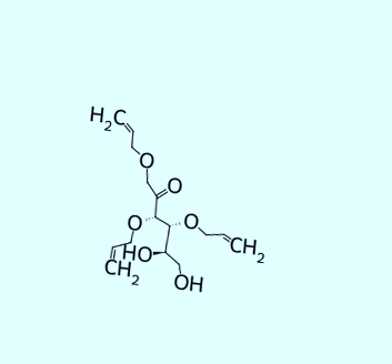 C=CCOCC(=O)[C@@H](OCC=C)[C@H](OCC=C)[C@H](O)CO